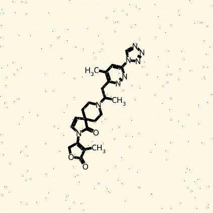 CC1=C(N2C=CC3(CCN(C(C)Cc4nnc(-n5cnnn5)cc4C)CC3)C2=O)COC1=O